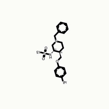 CCS(=O)(=O)N[C@@H]1CN(Cc2ccccc2)CC[C@H]1COc1ccc(C(C)C)cc1